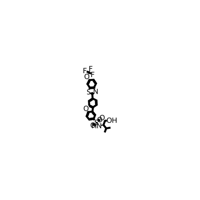 CC(C)[C@@H](NS(=O)(=O)c1ccc2oc3cc(-c4nc5ccc(OC(F)(F)F)cc5s4)ccc3c2c1)C(=O)O